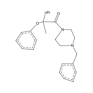 CCCC(C)(Oc1ccccc1)C(=O)N1CCN(Cc2ccccc2)CC1